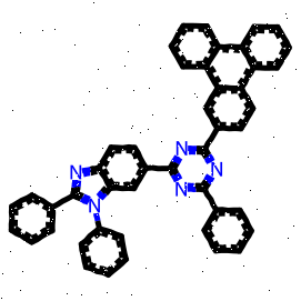 c1ccc(-c2nc(-c3ccc4c5ccccc5c5ccccc5c4c3)nc(-c3ccc4nc(-c5ccccc5)n(-c5ccccc5)c4c3)n2)cc1